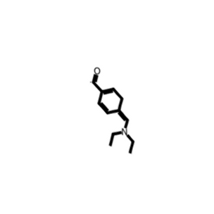 CCN(C=C1C=CC([C]=O)=CC1)CC